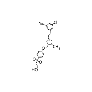 CC1CN(CCc2cc(Cl)cc(C#N)c2)CC1COc1ccc(S(=O)(=O)CCO)cc1